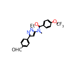 CCn1nc(-c2ccc(C=O)cc2)cc1N(C)C(=O)c1ccc(OC(F)(F)F)cc1